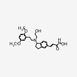 COc1ccc(OC)c(CCN(CCO)[C@@H]2CCc3cc(/C=C/C(=O)NO)ccc32)c1